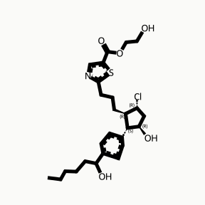 CCCCCC(O)c1ccc([C@@H]2[C@@H](CCCc3ncc(C(=O)OCCO)s3)[C@H](Cl)C[C@H]2O)cc1